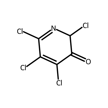 O=C1C(Cl)=C(Cl)C(Cl)=NC1Cl